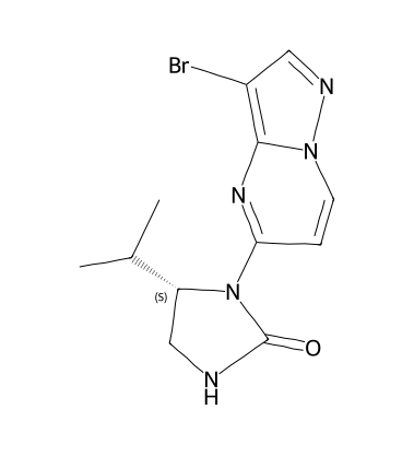 CC(C)[C@H]1CNC(=O)N1c1ccn2ncc(Br)c2n1